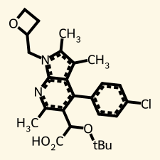 Cc1nc2c(c(C)c(C)n2CC2CCO2)c(-c2ccc(Cl)cc2)c1C(OC(C)(C)C)C(=O)O